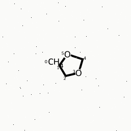 C.C1COCO1